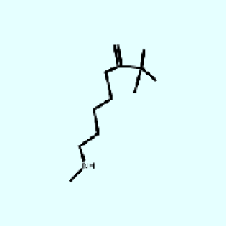 C=C(CCCCCNC)C(C)(C)C